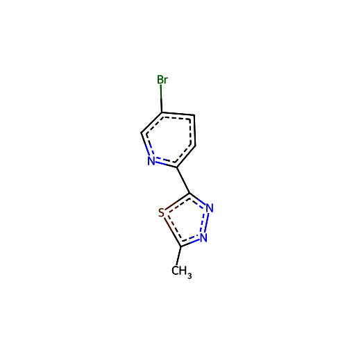 Cc1nnc(-c2ccc(Br)cn2)s1